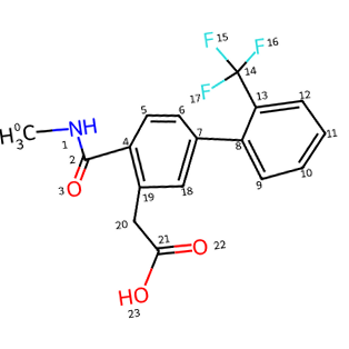 CNC(=O)c1ccc(-c2ccccc2C(F)(F)F)cc1CC(=O)O